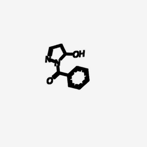 O=C(c1ccccc1)N1N=CCC1O